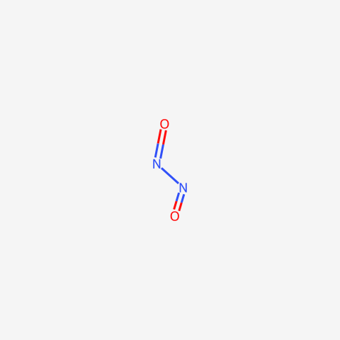 O=NN=O